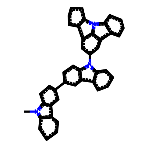 Cn1c2ccccc2c2cc(-c3ccc4c(c3)c3ccccc3n4-c3cc4c5ccccc5n5c6ccccc6c(c3)c45)ccc21